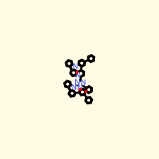 c1ccc(-c2cccc(-c3cccc4c5ccccc5n(-c5nc(-c6ccccc6)nc(-c6ccc(-c7cc(-c8ccccc8)ccc7-n7c8ccccc8c8ccccc87)cn6)n5)c34)c2)cc1